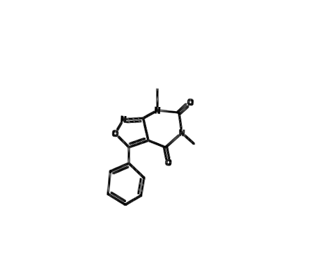 Cn1c(=O)c2c(-c3ccccc3)onc2n(C)c1=O